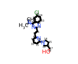 CN(C)c1nc(C=Cc2cccc(N3CCC(CO)C3)n2)nc2ccc(Cl)cc12